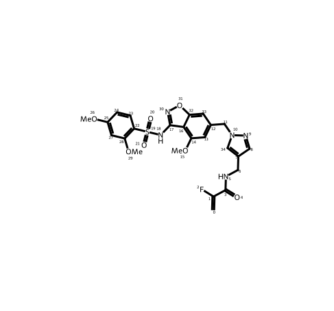 C=C(F)C(=O)NCc1cnn(Cc2cc(OC)c3c(NS(=O)(=O)c4ccc(OC)cc4OC)noc3c2)c1